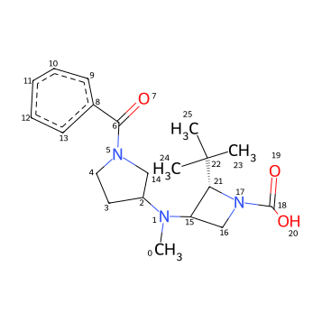 CN(C1CCN(C(=O)c2ccccc2)C1)C1CN(C(=O)O)[C@H]1C(C)(C)C